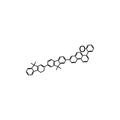 CC1(C)C2=C(CCC(c3ccc4c(c3)C(C)(C)c3cc(-c5ccc6c(c5)cc5c7c(cccc76)-c6ccccc6O5)ccc3-4)=C2)c2ccccc21